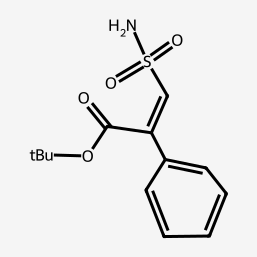 CC(C)(C)OC(=O)C(=CS(N)(=O)=O)c1ccccc1